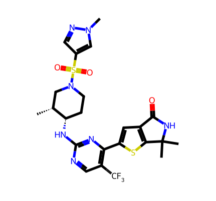 C[C@@H]1CN(S(=O)(=O)c2cnn(C)c2)CC[C@@H]1Nc1ncc(C(F)(F)F)c(-c2cc3c(s2)C(C)(C)NC3=O)n1